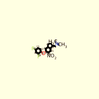 CN(C)C=C1CCc2cc(Oc3ccc(F)cc3F)c([N+](=O)[O-])cc21